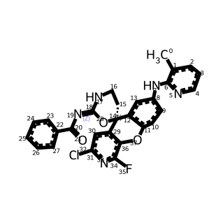 Cc1cccnc1Nc1ccc2c(c1)[C@@]1(CCN/C(=N/C(=O)c3ccccc3)O1)c1cc(Cl)nc(F)c1O2